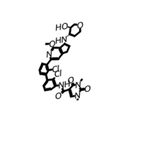 COc1nc(-c2cccc(-c3cccc(NC(=O)c4cn(C)c(=O)n(C)c4=O)c3Cl)c2Cl)cc2c1[C@H](N[C@H]1CCOC[C@@H]1O)CC2